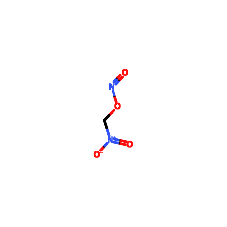 O=NOC[N+](=O)[O-]